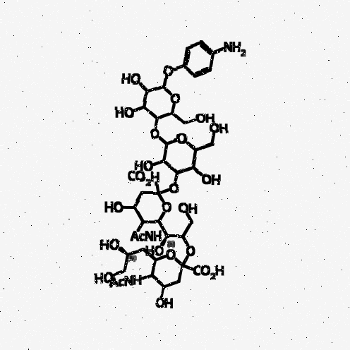 CC(=O)NC1C(O)CC(OC(CO)[C@@H](O)C2OC(OC3C(O)C(CO)OC(OC4C(CO)OC(Oc5ccc(N)cc5)C(O)C4O)C3O)(C(=O)O)CC(O)C2NC(C)=O)(C(=O)O)OC1C[C@H](O)CO